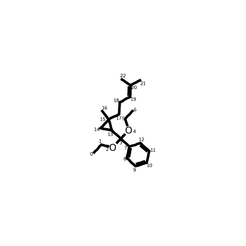 CCOC(OCC)(c1ccccc1)C1CC1(C)CCC=C(C)C